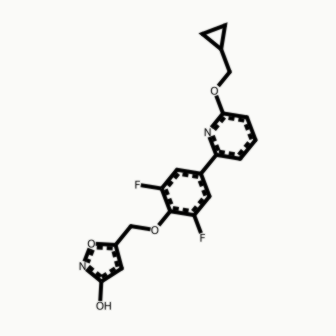 Oc1cc(COc2c(F)cc(-c3cccc(OCC4CC4)n3)cc2F)on1